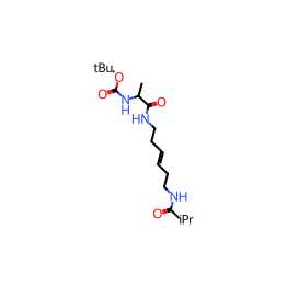 CC(C)C(=O)NCCC=CCCNC(=O)C(C)NC(=O)OC(C)(C)C